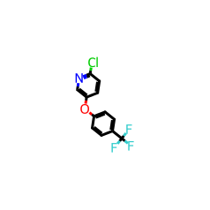 FC(F)(F)c1ccc(Oc2ccc(Cl)nc2)cc1